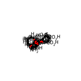 CCC(C)[C@@H]1NC(=O)CNC(=O)[C@@H]2Cc3c([nH]c4cc(O)ccc34)SC[C@@H](NC(=O)CNC1=O)C(=O)N[C@@H](CC(N)=O)C(=O)N1C[C@H](O)C[C@H]1C(=O)N[C@@H]([C@@H](O)COC(=O)OCCSSC[C@H](NC(=O)[C@H](CC(=O)O)NC(=O)[C@H](CC(=O)O)NC(=O)[C@H](CCCNC(=N)N)NC)C(=O)O)C(=O)N2